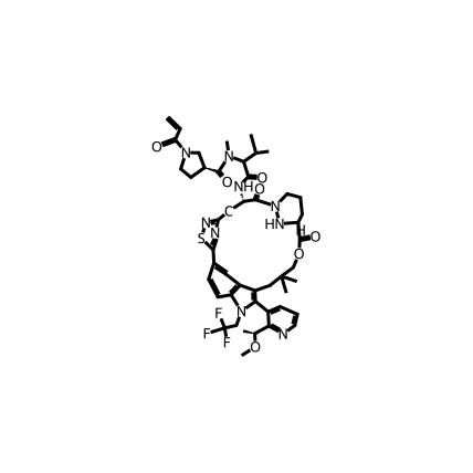 C=CC(=O)N1CC[C@H](C(=O)N(C)C(C(=O)N[C@H]2Cc3nsc(n3)-c3ccc4c(c3)c(c(-c3cccnc3[C@H](C)OC)n4CC(F)(F)F)CC(C)(C)COC(=O)[C@@H]3CCCN(N3)C2=O)C(C)C)C1